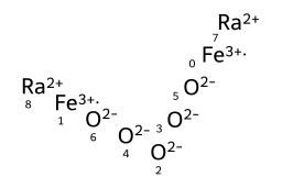 [Fe+3].[Fe+3].[O-2].[O-2].[O-2].[O-2].[O-2].[Ra+2].[Ra+2]